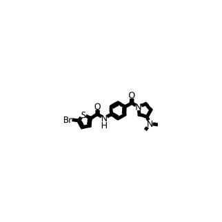 CN(C)C1CCN(C(=O)c2ccc(NC(=O)c3ccc(Br)s3)cc2)C1